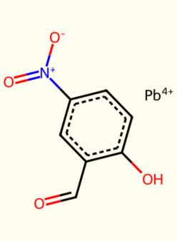 O=Cc1cc([N+](=O)[O-])ccc1O.[Pb+4]